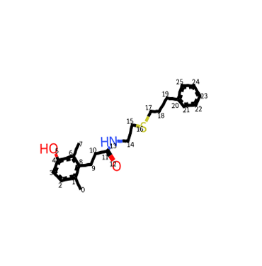 Cc1ccc(O)c(C)c1CCC(=O)NCCSCCCc1ccccc1